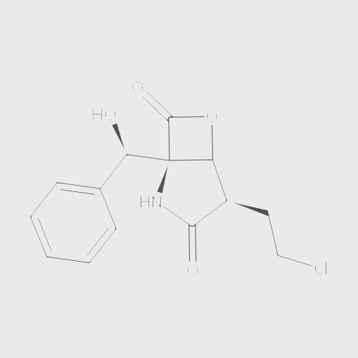 C[C@@]12OC(=O)[C@]1([C@H](O)c1ccccc1)NC(=O)[C@@H]2CCCl